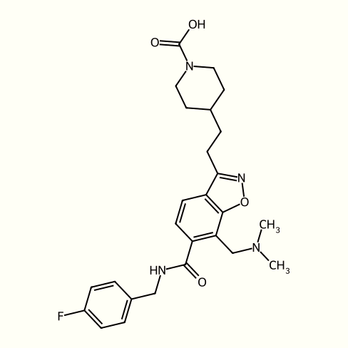 CN(C)Cc1c(C(=O)NCc2ccc(F)cc2)ccc2c(CCC3CCN(C(=O)O)CC3)noc12